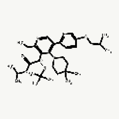 CCc1ncc(-c2ccc(OCC(C)C)cn2)c(N2CCC(C)(C)CC2)c1[C@H](OC(C)(C)C)C(=O)OC(C)C